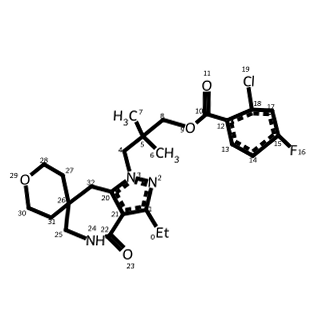 CCc1nn(CC(C)(C)COC(=O)c2ccc(F)cc2Cl)c2c1C(=O)NCC1(CCOCC1)C2